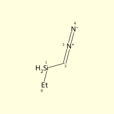 CC[SiH2]C=[N+]=[N-]